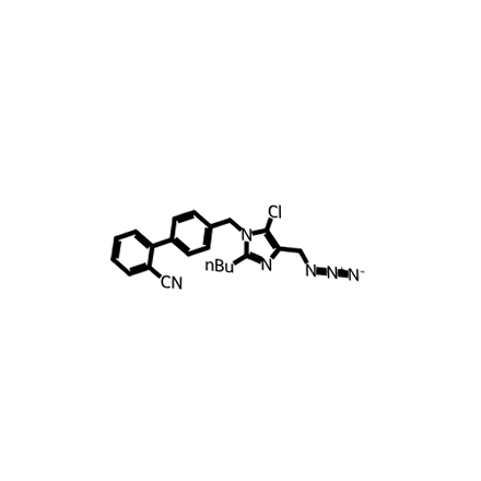 CCCCc1nc(CN=[N+]=[N-])c(Cl)n1Cc1ccc(-c2ccccc2C#N)cc1